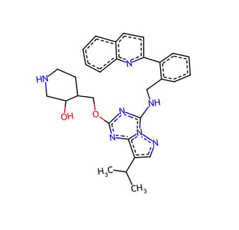 CC(C)c1cnn2c(NCc3ccccc3-c3ccc4ccccc4n3)nc(OCC3CCNCC3O)nc12